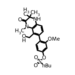 CCCCS(=O)(=O)Oc1ccc(-c2ccc3c(c2CO)N(C)C(=O)C(C)(C)N3)c(OC)c1